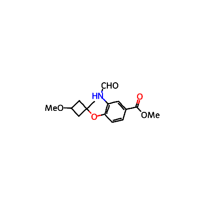 COC(=O)c1ccc(OC2(C)CC(OC)C2)c(NC=O)c1